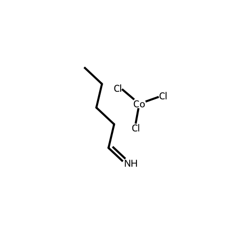 CCCCC=N.[Cl][Co]([Cl])[Cl]